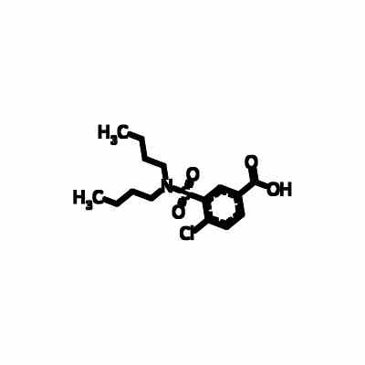 CCCCN(CCCC)S(=O)(=O)c1cc(C(=O)O)ccc1Cl